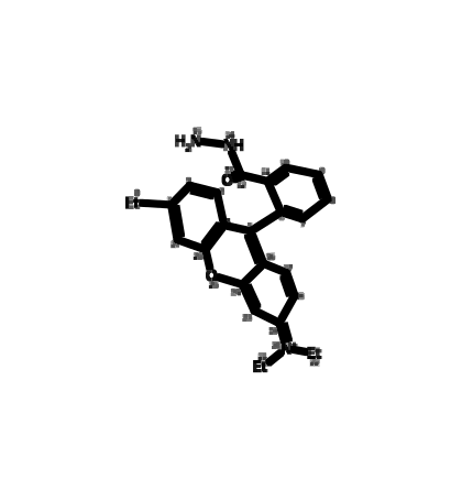 CCc1ccc2c(-c3ccccc3C(=O)NN)c3ccc(=[N+](CC)CC)cc-3oc2c1